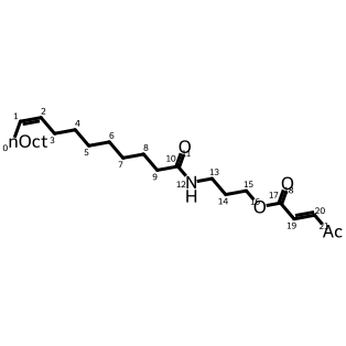 CCCCCCCC/C=C\CCCCCCCC(=O)NCCCOC(=O)C=CC(C)=O